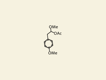 COc1ccc(CC(OC)OC(C)=O)cc1